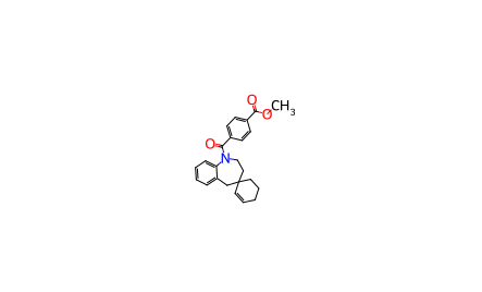 COC(=O)c1ccc(C(=O)N2CCC3(C=CCCC3)Cc3ccccc32)cc1